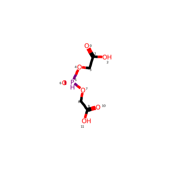 O=C(O)CO[PH](=O)OCC(=O)O